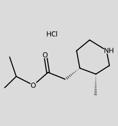 CC(C)OC(=O)C[C@@H]1CCNC[C@@H]1C.Cl